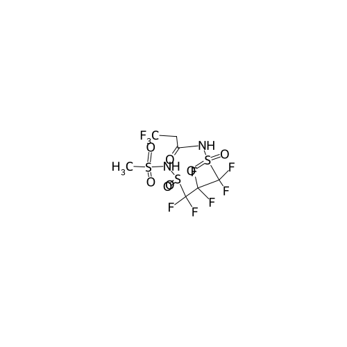 CS(=O)(=O)NS(=O)(=O)C(F)(F)C(F)(F)C(F)(F)S(=O)(=O)NC(=O)CC(F)(F)F